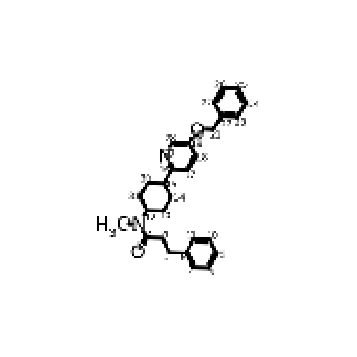 CN(C(=O)CCc1ccccc1)C1CCC(c2ccc(OCc3ccccc3)cn2)CC1